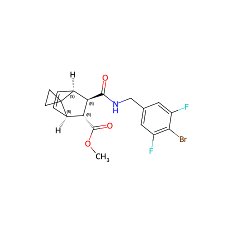 COC(=O)[C@H]1[C@H](C(=O)NCc2cc(F)c(Br)c(F)c2)[C@@H]2C=C[C@H]1C21CC1